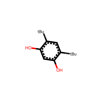 CC(C)(C)c1cc(C(C)(C)C)c(O)cc1O